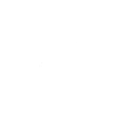 CCCC[CH2][AlH][CH3]